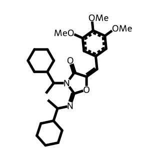 COc1cc(/C=C2/O/C(=N/C(C)C3CCCCC3)N(C(C)C3CCCCC3)C2=O)cc(OC)c1OC